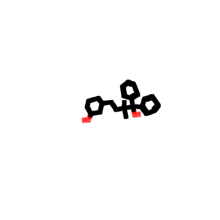 CC(C)(CCC1CCCC(O)C1)[Si](O)(c1ccccc1)c1ccccc1